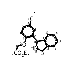 CCOC(=O)COc1ccc(Cl)cc1C1NCc2ccccc21